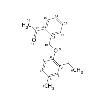 CCc1cc(C)ccc1OCc1ccccc1C(C)=O